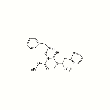 CCCOC(=O)N(OC(=O)Cc1ccccc1)C(=N)N(C)C(Cc1ccccc1)C(=O)O